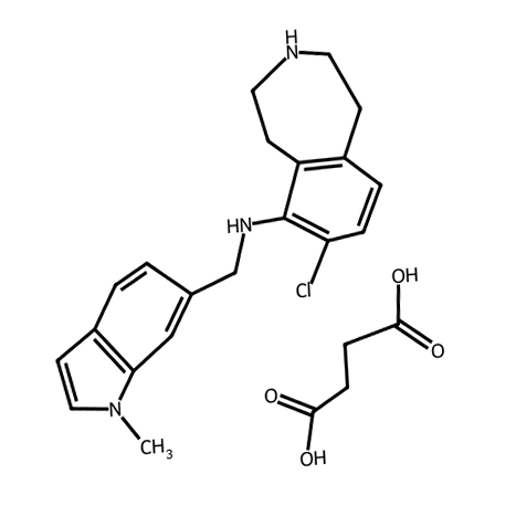 Cn1ccc2ccc(CNc3c(Cl)ccc4c3CCNCC4)cc21.O=C(O)CCC(=O)O